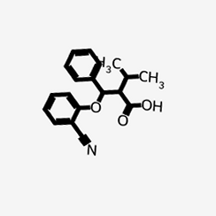 CC(C)C(C(=O)O)C(Oc1ccccc1C#N)c1ccccc1